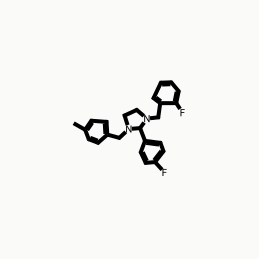 Cc1ccc(CN2CCN(Cc3ccccc3F)C2c2ccc(F)cc2)cc1